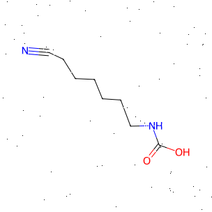 N#CCCCCCCNC(=O)O